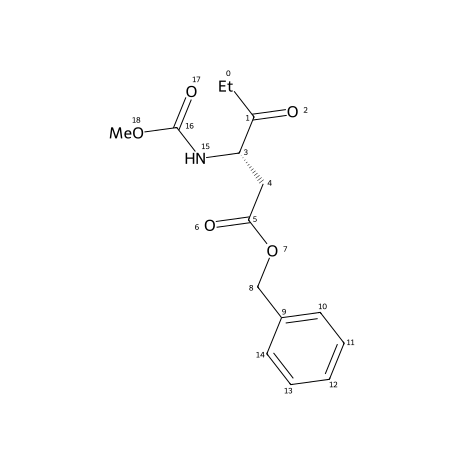 CCC(=O)[C@H](CC(=O)OCc1ccccc1)NC(=O)OC